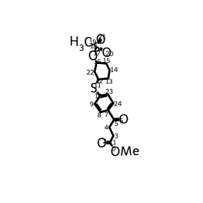 COC(=O)CCC(=O)c1ccc(SC2CCCC(OS(C)(=O)=O)C2)cc1